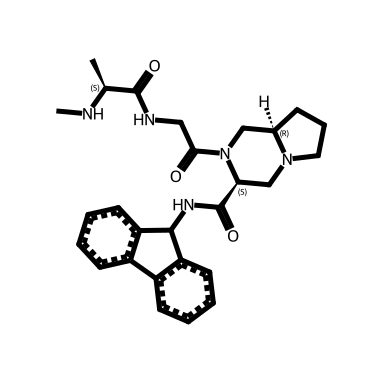 CN[C@@H](C)C(=O)NCC(=O)N1C[C@H]2CCCN2C[C@H]1C(=O)NC1c2ccccc2-c2ccccc21